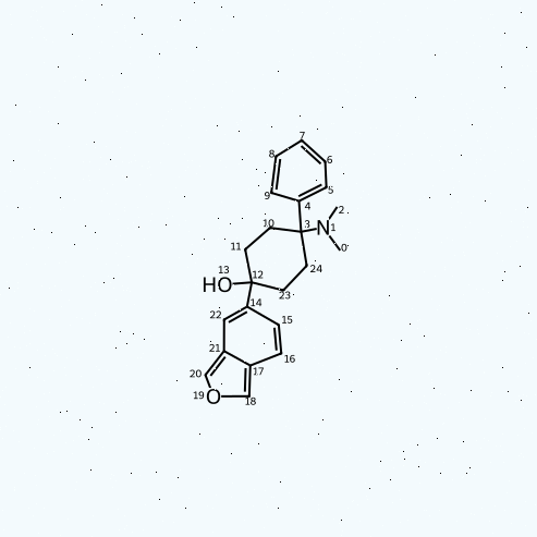 CN(C)C1(c2ccccc2)CCC(O)(c2ccc3cocc3c2)CC1